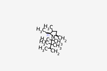 C=C1CC(C)/C(=C\C)N1C(C)(C)C(C)(C)C(=C)C